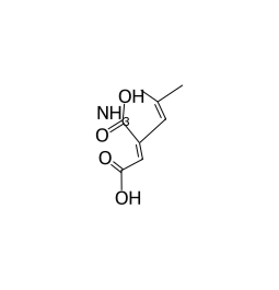 CC(C)=C/C(=C/C(=O)O)C(=O)O.N